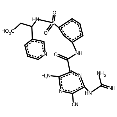 N#Cc1nc(N)c(C(=O)Nc2cccc(S(=O)(=O)NC(CC(=O)O)c3cccnc3)c2)nc1NC(=N)N